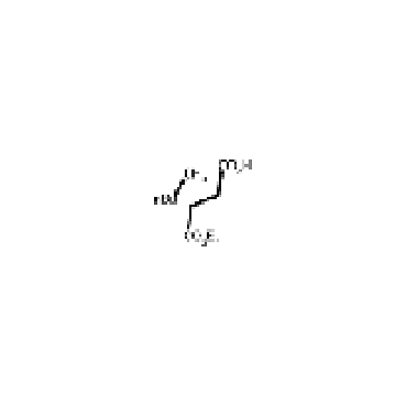 CCCCC.CCOC(=O)CCC(=O)O